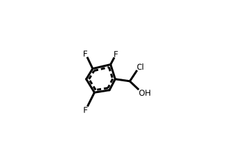 OC(Cl)c1cc(F)cc(F)c1F